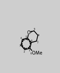 COc1cccc2c1[CH]CCO2